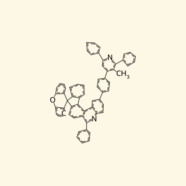 Cc1c(-c2ccc(-c3ccc4nc(-c5ccccc5)c5ccc6c(c5c4c3)-c3ccccc3C63c4ccccc4Oc4ccccc43)cc2)cc(-c2ccccc2)nc1-c1ccccc1